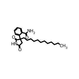 CCCCCCCCCCCCC1(c2ccccc2C(N)=O)CC(=O)NC1=O